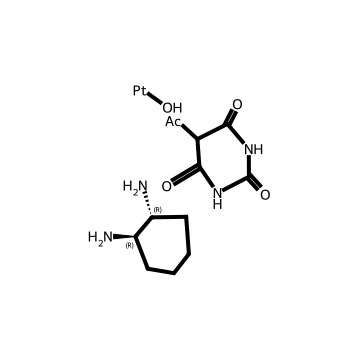 CC(=O)C1C(=O)NC(=O)NC1=O.N[C@@H]1CCCC[C@H]1N.[OH][Pt]